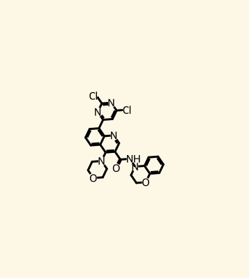 O=C(NN1CCOc2ccccc21)c1cnc2c(-c3cc(Cl)nc(Cl)n3)cccc2c1N1CCOCC1